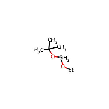 CCO[SiH2]OC(C)(C)C